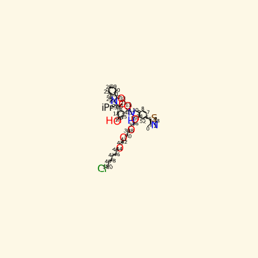 Cc1ncsc1-c1ccc(CNC(=O)[C@@H]2C[C@@H](O)CC2C(=O)[C@H](C(C)C)N2Cc3ccccc3C2=O)c(OCCOCCOCCOCCCCCCCl)c1